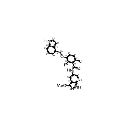 COc1n[nH]c2ncc(NC(=O)c3c(Cl)ccc(OCc4cccc5[nH]ccc45)c3F)cc12